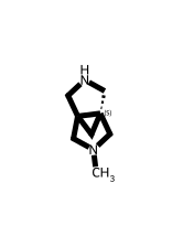 CN1CC23CNC[C@]2(C1)C3